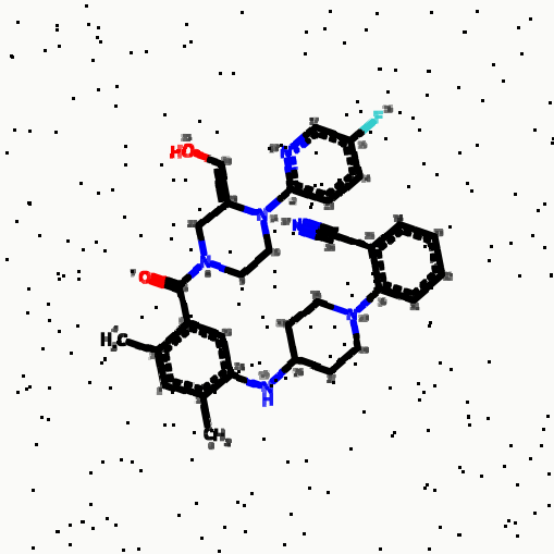 Cc1cc(C)c(C(=O)N2CCN(c3ccc(F)cn3)/C(=C/O)C2)cc1NC1CCN(c2ccccc2C#N)CC1